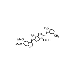 COc1cc2nccc(Oc3ccc(N(CCSc4cc(C)ccc4C)C(=O)O)c(C)c3C)c2cc1OC